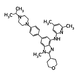 Cc1cc(C)nc(Nc2cc(-c3ccc(N4CCN(C(C)C)CC4)cc3)cc3c2nc(C2CCOCC2)n3C)c1